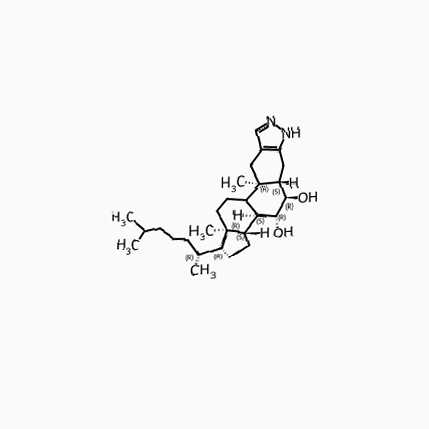 CC(C)CCC[C@@H](C)[C@H]1CC[C@H]2[C@H]3C(CC[C@]12C)[C@@]1(C)Cc2cn[nH]c2C[C@@H]1[C@@H](O)[C@@H]3O